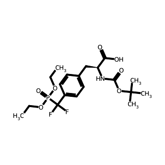 CCOP(=O)(OCC)C(F)(F)c1ccc(C[C@H](NC(=O)OC(C)(C)C)C(=O)O)cc1